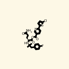 CC(C)(Cc1ccc(F)cc1)N[C@@H](CCC(N)=O)C(=O)OC(=O)c1ccc(-c2ccc(Cl)s2)nc1